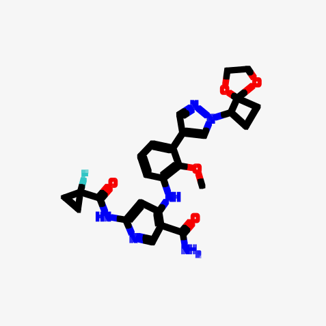 COc1c(Nc2cc(NC(=O)C3(F)CC3)ncc2C(N)=O)cccc1-c1cnn(C2CCC23OCCO3)c1